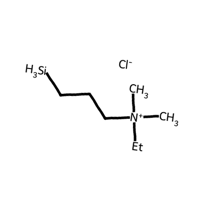 CC[N+](C)(C)CCC[SiH3].[Cl-]